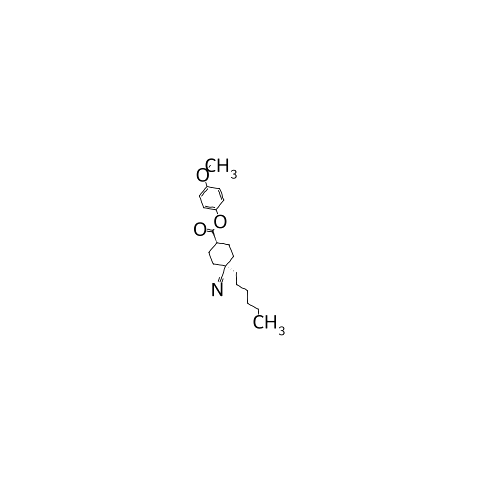 CCCCCC[C@]1(C#N)CC[C@@H](C(=O)Oc2ccc(OC)cc2)CC1